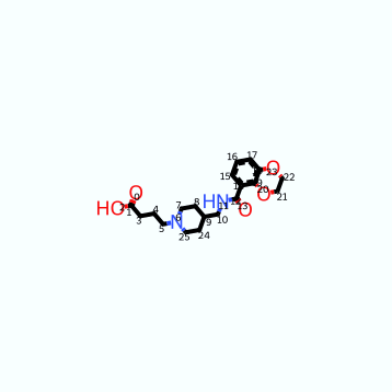 O=C(O)CCCN1CCC(CNC(=O)c2cccc3c2OCCO3)CC1